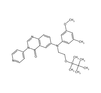 COc1cc(C)cc(N(CCO[Si](C)(C)C(C)(C)C)c2ccc3ncn(-c4ccncc4)c(=O)c3c2)c1